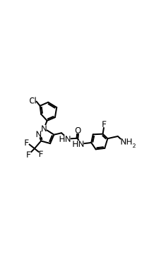 NCc1ccc(NC(=O)NCc2cc(C(F)(F)F)nn2-c2cccc(Cl)c2)cc1F